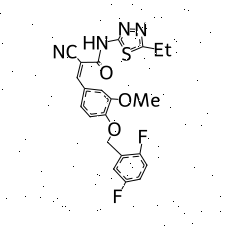 CCc1nnc(NC(=O)C(C#N)=Cc2ccc(OCc3cc(F)ccc3F)c(OC)c2)s1